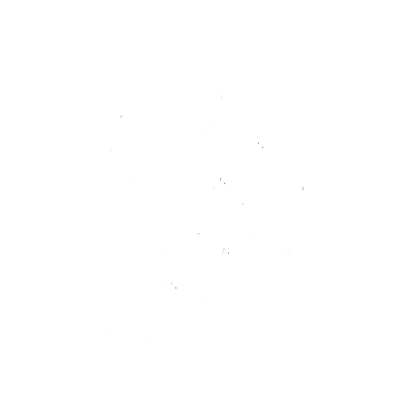 CCn1c(-c2cccc3ccccc23)nc(C(=O)N2CCN(C3CCC3)CC2)c1C